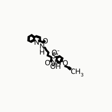 CC#CCOc1ccc([S+]([O-])C(CCCCNC(=O)c2ccc3ccccc3n2)C(=O)NO)cc1